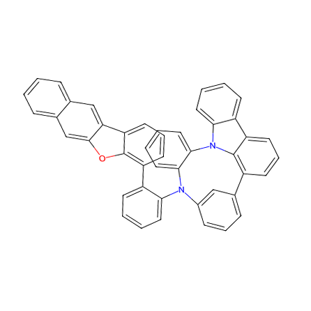 c1ccc(-n2c3cccc(c3)c3cccc4c5ccccc5n(c5ccccc52)c34)c(-c2cccc3c2oc2cc4ccccc4cc23)c1